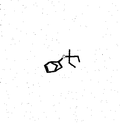 CCC(C)(CC)OC1CC2C=CC1C2